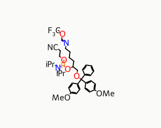 COc1ccc(C(OCC(CCCCN=COC(F)(F)F)OP(OCCC#N)N(C(C)C)C(C)C)(c2ccccc2)c2ccc(OC)cc2)cc1